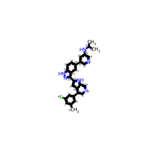 Cc1cc(F)cc(-c2cncc3[nH]c(-c4n[nH]c5ccc(-c6cncc(NC(C)C)c6)cc45)cc23)c1